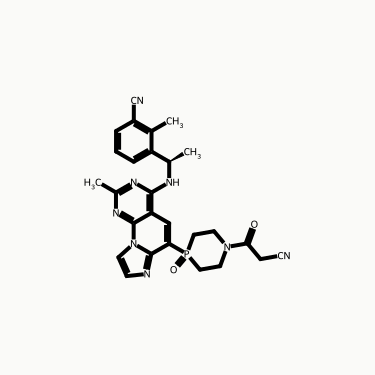 Cc1nc(N[C@H](C)c2cccc(C#N)c2C)c2cc(P3(=O)CCN(C(=O)CC#N)CC3)c3nccn3c2n1